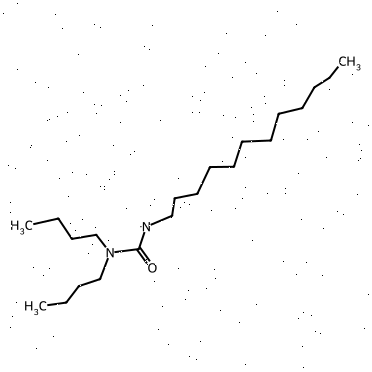 CCCCCCCCCCCC[N]C(=O)N(CCCC)CCCC